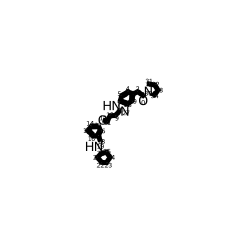 O=C(Cc1ccc2[nH]c(CCCOc3cccc(CNC4CCCCC4)c3)nc2c1)N1CCCC1